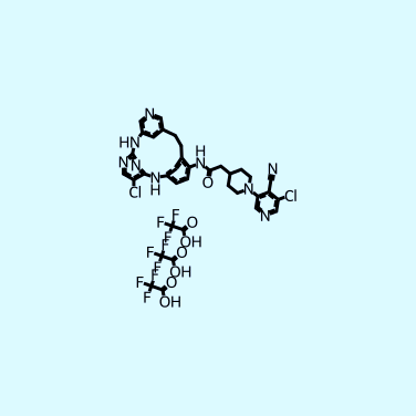 N#Cc1c(Cl)cncc1N1CCC(CC(=O)Nc2ccc3cc2CCc2cncc(c2)Nc2ncc(Cl)c(n2)N3)CC1.O=C(O)C(F)(F)F.O=C(O)C(F)(F)F.O=C(O)C(F)(F)F